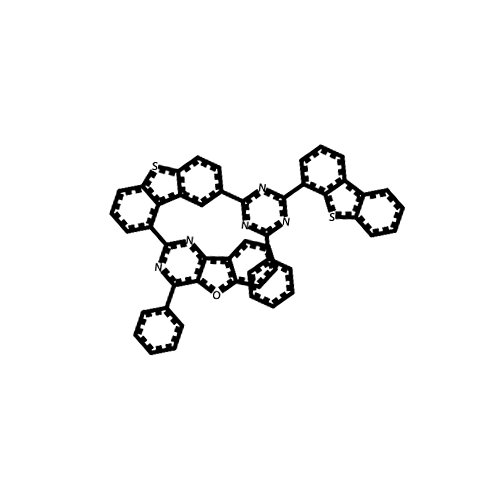 c1ccc(-c2nc(-c3ccc4sc5cccc(-c6nc(-c7ccccc7)c7oc8ccccc8c7n6)c5c4c3)nc(-c3cccc4c3sc3ccccc34)n2)cc1